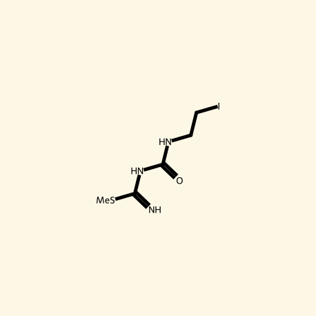 CSC(=N)NC(=O)NCCI